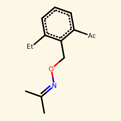 CCc1cccc(C(C)=O)c1CON=C(C)C